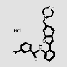 Cl.O=C(Nc1ccccc1-c1cc2ccc(CN3CCNCC3)cc2o1)c1cccc(Cl)c1